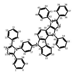 c1ccc(-c2nnc(-c3ccccc3)n2-c2ccc(-n3c4ccccc4c4c3ccc3c5c(nc(-c6ccccc6)n5-c5ccccc5)n(-c5ccccc5)c34)cc2)cc1